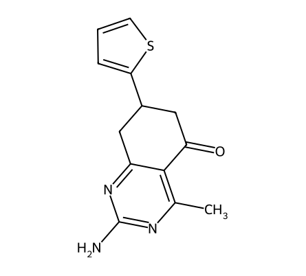 Cc1nc(N)nc2c1C(=O)CC(c1cccs1)C2